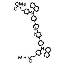 COC(=O)CCc1ccc(N(c2ccc(-c3ccc(-c4ccc(-c5ccc(N(c6ccc(CCC(=O)OC)cc6)c6cccc7ccccc67)cc5)cn4)nc3)cc2)c2cccc3ccccc23)cc1